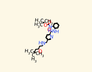 CC(C)(C)CC(=O)CCNCc1ccc(C(=O)Nc2ccccc2NC(=O)OC(C)(C)C)nc1